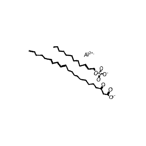 CCCCCCCCC=CCCCCCCCCCC(=O)CC(=O)[O-].CCCCCCCCCCCCOS(=O)(=O)[O-].[Al+2]